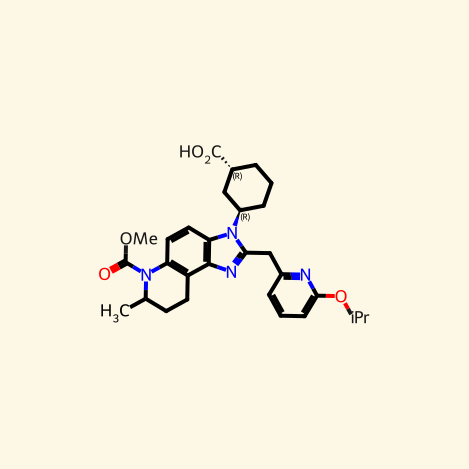 COC(=O)N1c2ccc3c(nc(Cc4cccc(OC(C)C)n4)n3[C@@H]3CCC[C@@H](C(=O)O)C3)c2CCC1C